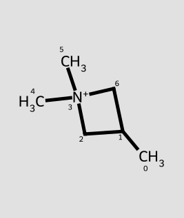 CC1C[N+](C)(C)C1